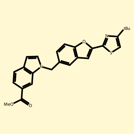 COC(=O)c1ccc2ccn(Cc3ccc4oc(-c5nc(C(C)(C)C)cs5)cc4c3)c2c1